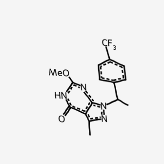 COc1nc2c(c(C)nn2C(C)c2ccc(C(F)(F)F)cc2)c(=O)[nH]1